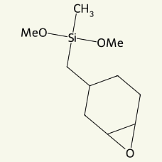 CO[Si](C)(CC1CCC2OC2C1)OC